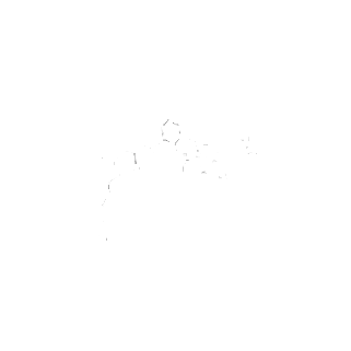 CC[C@H](O)CC[C@@H]1[C@H]2Cc3cccc(OCC(=O)OC(C)CCCCCCC(=O)O)c3C[C@H]2C[C@H]1O